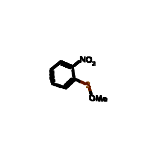 COSc1ccccc1[N+](=O)[O-]